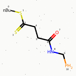 CCCCSC(=S)CCC(=O)NCP